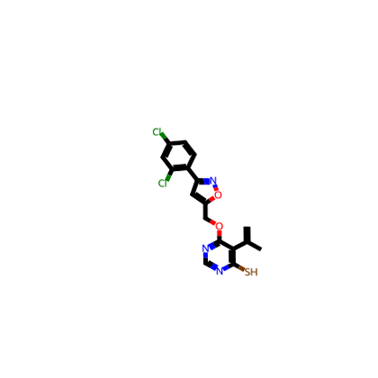 C=C(C)c1c(S)ncnc1OCc1cc(-c2ccc(Cl)cc2Cl)no1